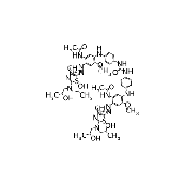 COc1cc(N=Nc2sc(N(CC(C)O)CC(C)O)n[n+]2C)c(NC(C)=O)cc1Nc1ccc(NC(=O)Nc2ccc(Nc3cc(NC(C)=O)c(N=Nc4sc(N(CC(C)O)CC(C)O)n[n+]4C)cc3OC)cc2)cc1